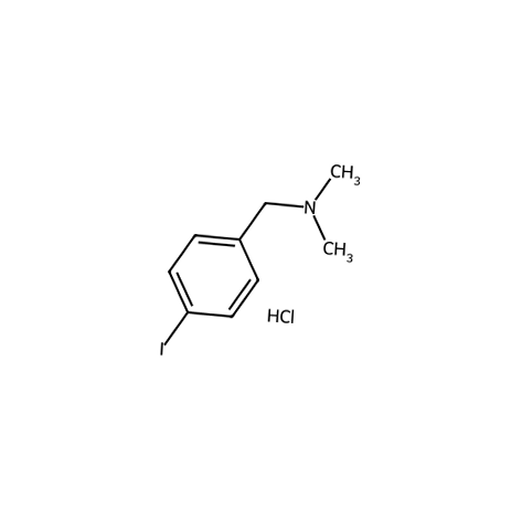 CN(C)Cc1ccc(I)cc1.Cl